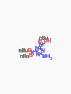 CCCCON(CO)c1nc(N)nc(N(OCCCC)OCCCC)n1